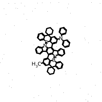 Cc1cc2c3c(c1)C1(CCCCC1)c1ccccc1B3n1c3ccccc3c3c4c5c(c-2c31)c1ccccc1n5B1c2ccccc2C2(CCCCC2)c2cc(N(c3ccccc3)c3ccccc3)cc-4c21